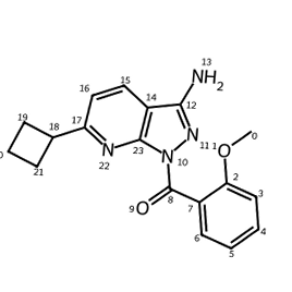 COc1ccccc1C(=O)n1nc(N)c2ccc(C3CCC3)nc21